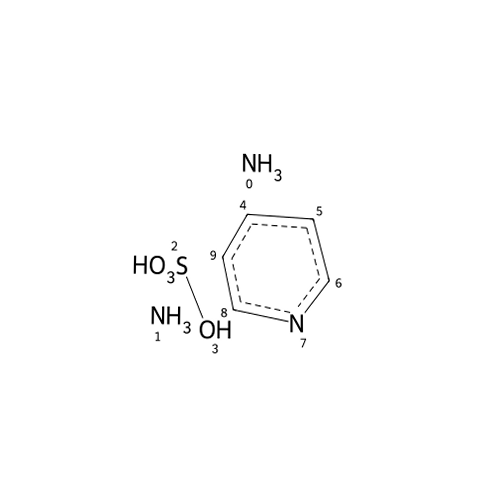 N.N.O=S(=O)(O)O.c1ccncc1